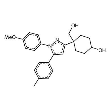 COc1ccc(-n2nc(C3(CO)CCC(O)CC3)cc2-c2ccc(C)cc2)cc1